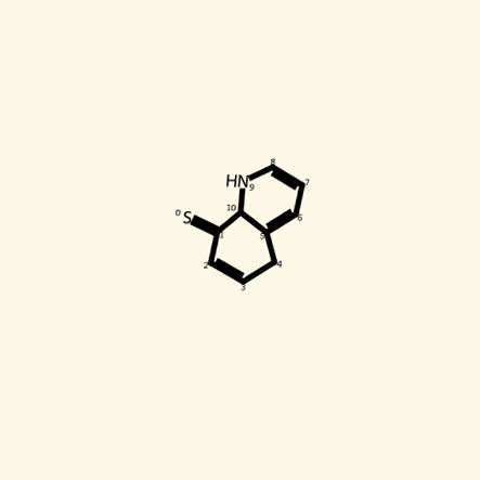 S=C1C=CCC2=CC=CNC12